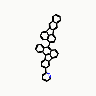 c1ccc(-c2ccc3c(c2)-c2cccc4c(-c5ccc6c7c(cccc57)-c5cc7ccccc7cc5-6)c5ccccc5c-3c24)nc1